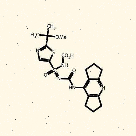 COC(C)(C)c1ncc(S(=O)(=NC(=O)Nc2c3c(nc4c2CCC4)CCC3)NC(=O)O)s1